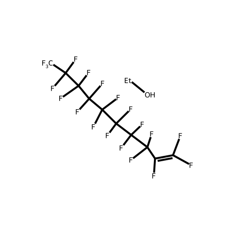 CCO.FC(F)=C(F)C(F)(F)C(F)(F)C(F)(F)C(F)(F)C(F)(F)C(F)(F)C(F)(F)C(F)(F)F